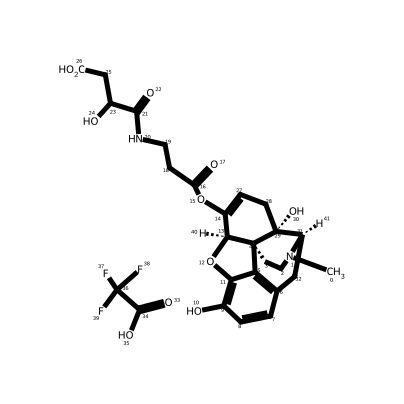 CN1CC[C@]23c4c5ccc(O)c4O[C@H]2C(OC(=O)CCNC(=O)C(O)CC(=O)O)=CC[C@@]3(O)[C@H]1C5.O=C(O)C(F)(F)F